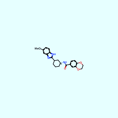 COc1ccc2[nH]c(C3CCC[C@@H](NC(=O)c4ccc5c(c4)OCCO5)C3)nc2c1